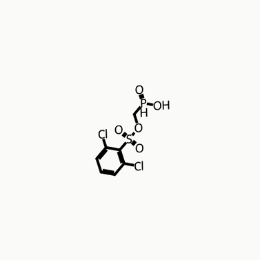 O=[PH](O)COS(=O)(=O)c1c(Cl)cccc1Cl